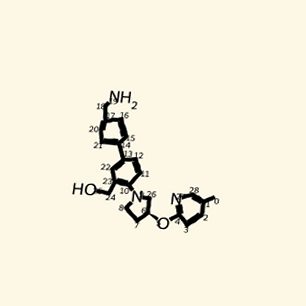 Cc1ccc(O[C@H]2CCN(c3ccc(-c4ccc(CN)cc4)cc3CO)C2)nc1